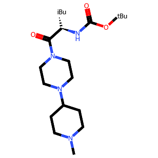 CC[C@@H](C)[C@@H](NC(=O)OC(C)(C)C)C(=O)N1CCN(C2CCN(C)CC2)CC1